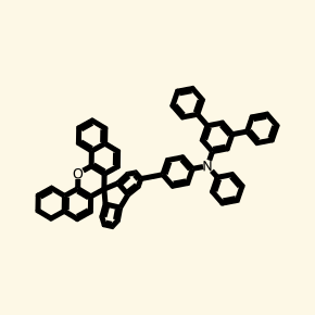 C1=Cc2c(ccc3c2Oc2c(ccc4ccccc24)C32c3ccccc3-c3cc(-c4ccc(N(c5ccccc5)c5cc(-c6ccccc6)cc(-c6ccccc6)c5)cc4)ccc32)CC1